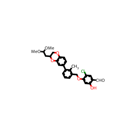 COC(CC1COc2ccc(-c3cccc(COc4cc(O)c(C=O)cc4Cl)c3C)cc2O1)OC